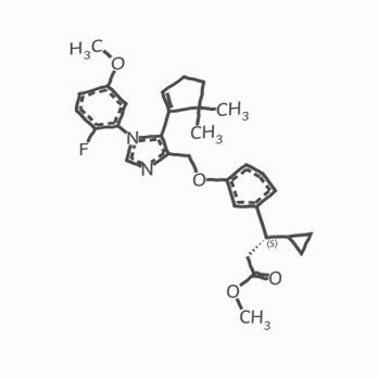 COC(=O)C[C@H](c1cccc(OCc2ncn(-c3cc(OC)ccc3F)c2C2=CCCC2(C)C)c1)C1CC1